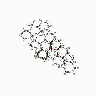 CC1(C)c2ccccc2C2(c3ccccc3-c3c(N(c4ccc5oc6ccccc6c5c4)c4ccccc4-c4ccccc4-c4ccccc4-c4ccccc4)cccc32)c2ccccc21